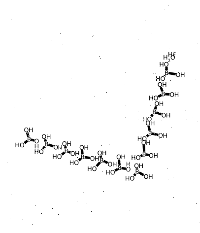 F.O.OB(O)O.OB(O)O.OB(O)O.OB(O)O.OB(O)O.OB(O)O.OB(O)O.OB(O)O.OB(O)O.OB(O)O.OB(O)O.OB(O)O